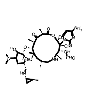 CC[C@H]1OC(=O)[C@H](C)C(=O)[C@H](C)[C@@H](O[C@@H]2O[C@H](CN[C@H]3C[C@@H]3C)CC(N(C)C)C2O)[C@](C)(OC)C[C@@H](C)CN[C@H](C)[C@@H](NC=O)[C@@]1(O)n1ccc(N)nc1=O